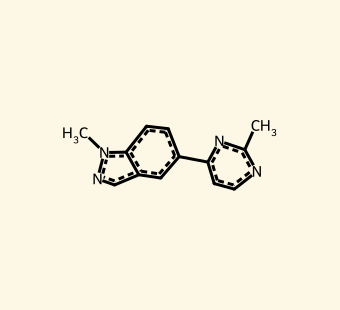 Cc1nccc(-c2ccc3c(cnn3C)c2)n1